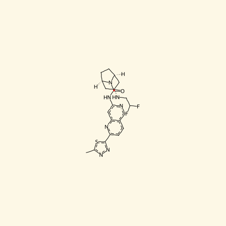 Cc1nnc(-c2ccc3cnc(NC(=O)N4[C@@H]5CC[C@H]4C[C@H](NCC(F)F)C5)cc3n2)s1